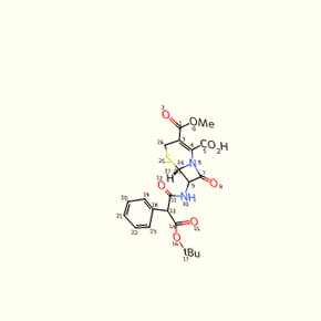 COC(=O)C1=C(C(=O)O)N2C(=O)C(NC(=O)C(C(=O)OC(C)(C)C)c3ccccc3)[C@@H]2SC1